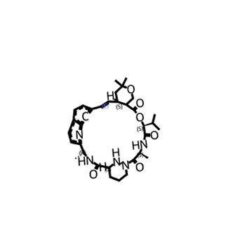 CC(C)[C@@H]1OC(=O)C2COC(C)(C)C[C@H]2/C=C/c2ccc3ccc(nc3c2)[C@@H](C)NC(=O)[C@@H]2CCCN(N2)C(=O)[C@H](C)NC1=O